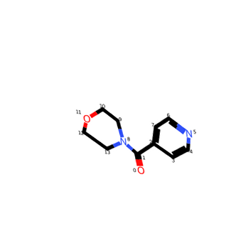 O=C(c1c[c]ncc1)N1CCOCC1